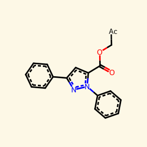 CC(=O)COC(=O)c1cc(-c2ccccc2)nn1-c1ccccc1